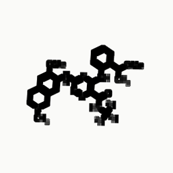 [2H]C([2H])([2H])NC(=O)c1nnc(Nc2cc3c(cc2OC)CCN(C)C3)nc1Nc1ccccc1C(C)OC